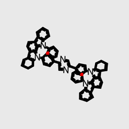 C1=Cc2c(n(-c3ccc(-c4cnc(-c5ccc(-n6c7c(c8ccc9c%10ccccc%10n(-c%10ccccc%10)c9c86)C=CCC7)cc5)cn4)cc3)c3c2ccc2c4ccccc4n(-c4ccccc4)c23)CC1